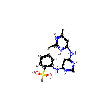 Cc1cc(Nc2cc(Nc3ccccc3S(C)(=O)=O)ncn2)nc(C)n1